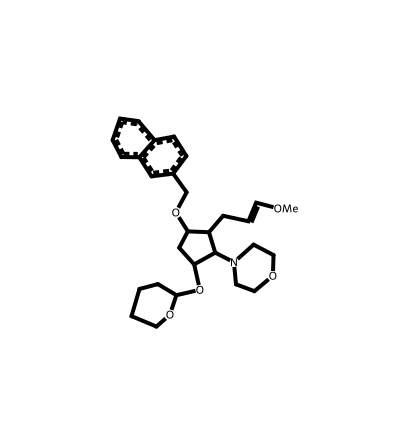 COC=CCC1C(OCc2ccc3ccccc3c2)CC(OC2CCCCO2)C1N1CCOCC1